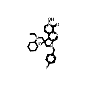 CCN(CC1(O)CN(Cc2ccc(F)cc2)c2cnc3c(=O)n(O)ccc3c21)C1CCCCC1